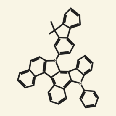 CC1(C)c2ccccc2-c2ccc(-n3c4ccc5ccccc5c4c4c5ccccc5c5c(c6ccccc6n5-c5ccccc5)c43)cc21